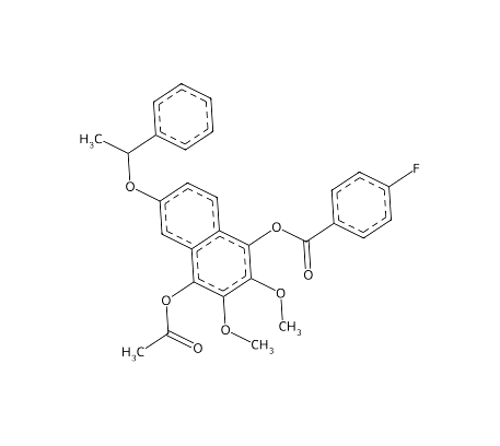 COc1c(OC)c(OC(=O)c2ccc(F)cc2)c2ccc(OC(C)c3ccccc3)cc2c1OC(C)=O